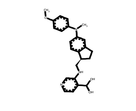 COc1ccc(N(C)c2ccc3c(c2)CC[C@H]3CNc2cnccc2C(O)O)cc1